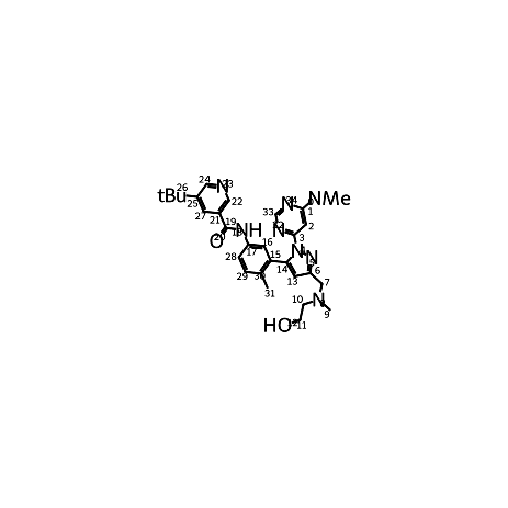 CNc1cc(-n2nc(CN(C)CCO)cc2-c2cc(NC(=O)c3cncc(C(C)(C)C)c3)ccc2C)ncn1